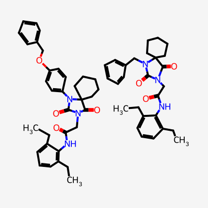 CCc1cccc(CC)c1NC(=O)CN1C(=O)N(Cc2ccccc2)C2(CCCCC2)C1=O.CCc1cccc(CC)c1NC(=O)CN1C(=O)N(c2ccc(OCc3ccccc3)cc2)C2(CCCCC2)C1=O